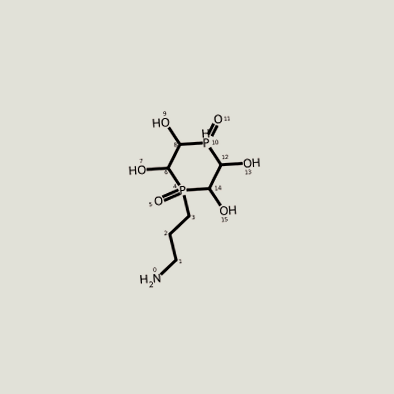 NCCCP1(=O)C(O)C(O)[PH](=O)C(O)C1O